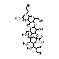 CC(=O)NC1C(OCCS)OC(CO)C(OC2OC(CO)C(O)C(OC3(C(=O)O)CC(O)C(C)C(C(O)C(O)CO)O3)C2O)C1O